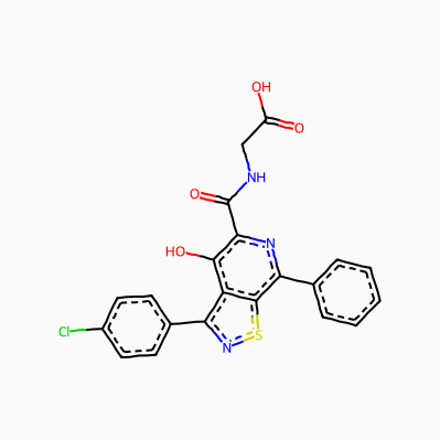 O=C(O)CNC(=O)c1nc(-c2ccccc2)c2snc(-c3ccc(Cl)cc3)c2c1O